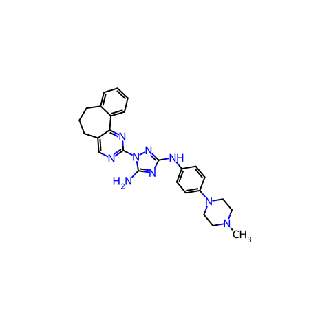 CN1CCN(c2ccc(Nc3nc(N)n(-c4ncc5c(n4)-c4ccccc4CCC5)n3)cc2)CC1